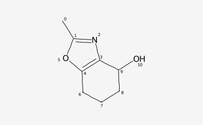 Cc1nc2c(o1)CCCC2O